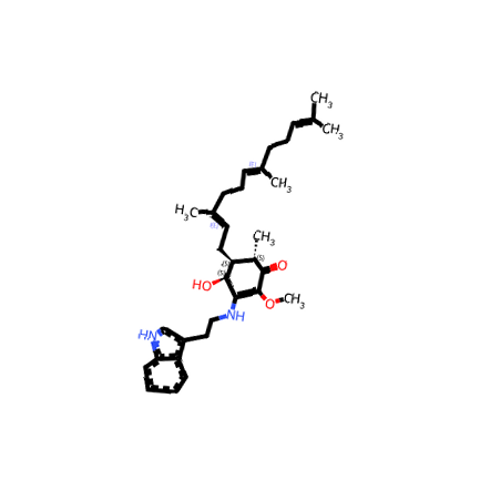 COC1=C(NCCc2c[nH]c3ccccc23)[C@@H](O)[C@@H](C/C=C(\C)CC/C=C(\C)CCC=C(C)C)[C@H](C)C1=O